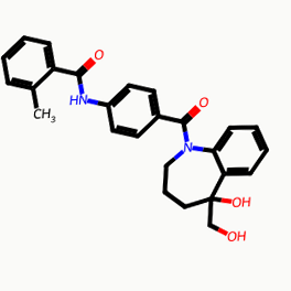 Cc1ccccc1C(=O)Nc1ccc(C(=O)N2CCCC(O)(CO)c3ccccc32)cc1